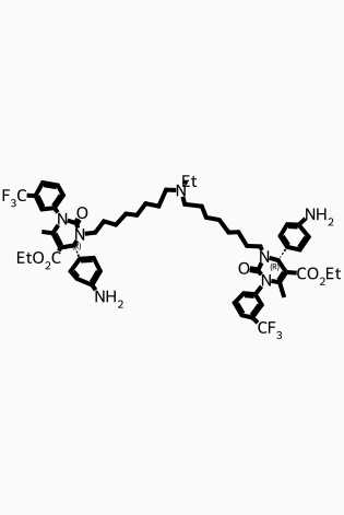 CCOC(=O)C1=C(C)N(c2cccc(C(F)(F)F)c2)C(=O)N(CCCCCCCCN(CC)CCCCCCCCN2C(=O)N(c3cccc(C(F)(F)F)c3)C(C)=C(C(=O)OCC)[C@H]2c2ccc(N)cc2)[C@@H]1c1ccc(N)cc1